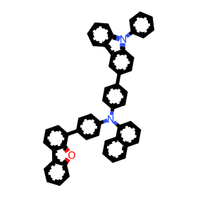 c1ccc(-n2c3ccccc3c3cc(-c4ccc(N(c5ccc(-c6cccc7c6oc6ccccc67)cc5)c5cccc6ccccc56)cc4)ccc32)cc1